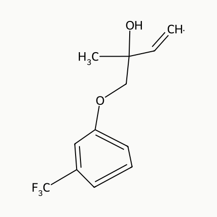 [CH]=CC(C)(O)COc1cccc(C(F)(F)F)c1